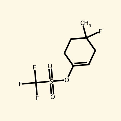 CC1(F)CC=C(OS(=O)(=O)C(F)(F)F)CC1